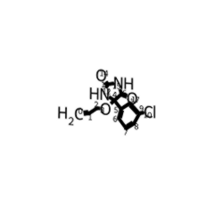 C=CCOC1(c2cccc(Cl)c2)NC(=O)NC1=O